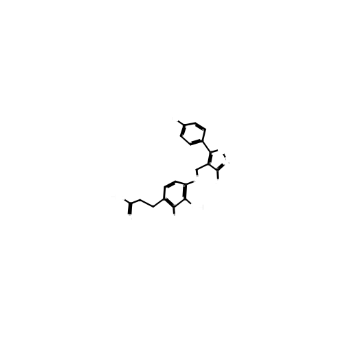 Cc1ccc(-c2snc(Cl)c2COc2ccc(CCC(=O)O)c(C)c2C)cc1